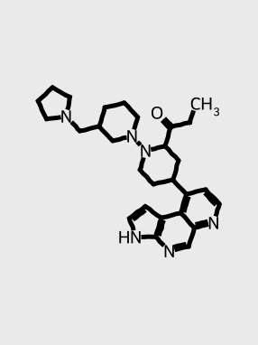 CCC(=O)C1CC(c2ccnc3cnc4[nH]ccc4c23)CCN1N1CCCC(CN2CCCC2)C1